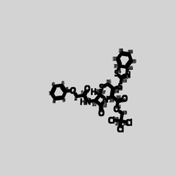 O=C(COc1ccccc1)NC1C(=O)N2C(C(=O)OCC(Cl)(Cl)Cl)=C(Sc3nc4ccccc4s3)CS[C@@H]12